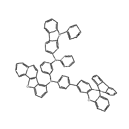 c1ccc(N(c2cccc(N(c3ccc(-c4ccc5c(c4)Oc4ccccc4C54c5ccccc5-c5ccccc54)cc3)c3cccc4oc5c6ccccc6ccc5c34)c2)c2ccc3c4ccccc4n(-c4ccccc4)c3c2)cc1